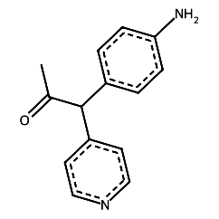 CC(=O)C(c1ccncc1)c1ccc(N)cc1